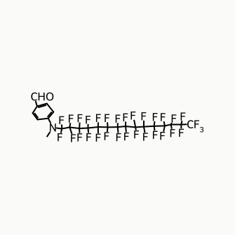 CN(c1ccc(C=O)cc1)C(F)(F)C(F)(F)C(F)(F)C(F)(F)C(F)(F)C(F)(F)C(F)(F)C(F)(F)C(F)(F)C(F)(F)C(F)(F)C(F)(F)C(F)(F)C(F)(F)C(F)(F)F